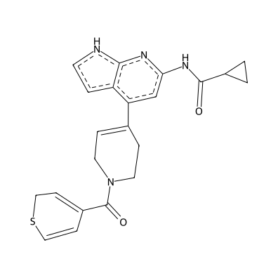 O=C(Nc1cc(C2=CCN(C(=O)C3=CCSC=C3)CC2)c2cc[nH]c2n1)C1CC1